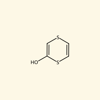 OC1=CSC=CS1